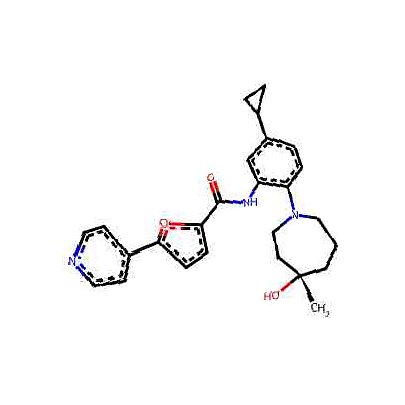 C[C@]1(O)CCCN(c2ccc(C3CC3)cc2NC(=O)c2ccc(-c3ccncc3)o2)CC1